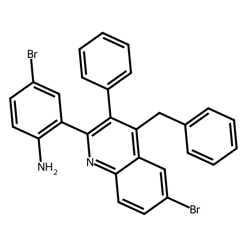 Nc1ccc(Br)cc1-c1nc2ccc(Br)cc2c(Cc2ccccc2)c1-c1ccccc1